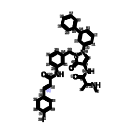 CNC(C)C(=O)Nc1cn(-c2cccc(-c3ccccc3)c2)n(Cc2cccc(NC(=O)/C=C/c3ccc(F)cc3)c2)c1=O